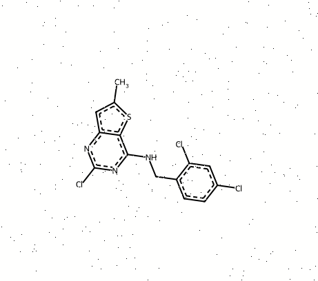 Cc1cc2nc(Cl)nc(NCc3ccc(Cl)cc3Cl)c2s1